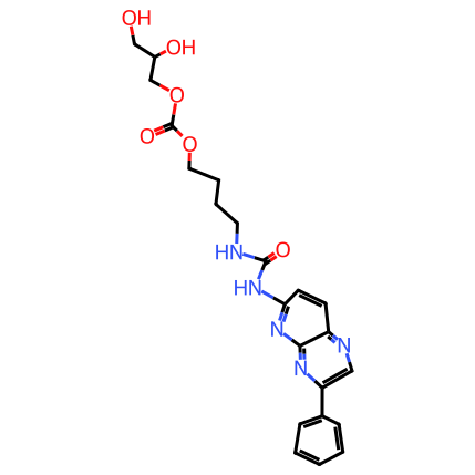 O=C(NCCCCOC(=O)OCC(O)CO)Nc1ccc2ncc(-c3ccccc3)nc2n1